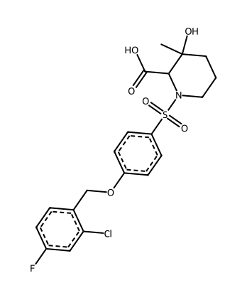 CC1(O)CCCN(S(=O)(=O)c2ccc(OCc3ccc(F)cc3Cl)cc2)C1C(=O)O